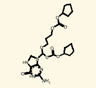 Nc1nc2c(c(=O)[nH]1)NCN2C(OCCCOC(=O)OC1CCCC1)OC(=O)OC1CCCC1